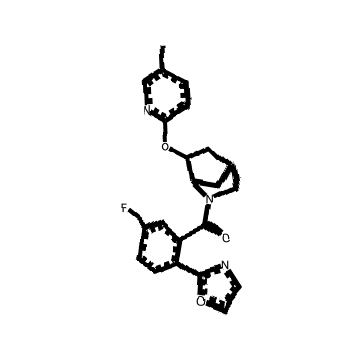 Cc1ccc(OC2CC3CC2N(C(=O)c2cc(F)ccc2-c2ncco2)C3)nc1